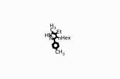 CCCCCCC1C(c2ccc(C)cc2)=NNC(C)=C1CC